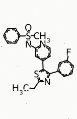 CCc1nc(-c2cccc(F)c2)c(-c2ccnc(N=S(C)(=O)c3ccccc3)c2)s1